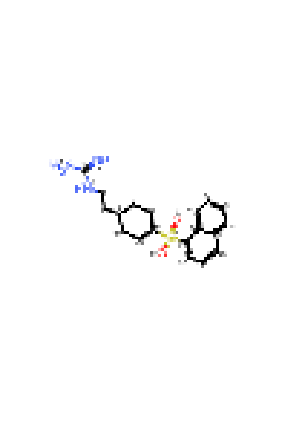 N=C(N)NCCC1CCC(S(=O)(=O)c2cccc3ccccc23)CC1